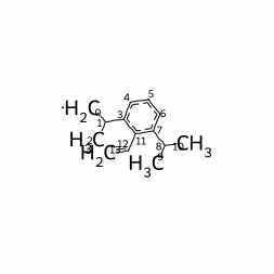 [CH2]C(C)c1cccc(C(C)C)c1C=C